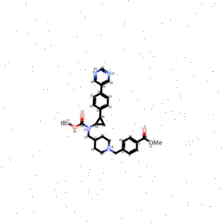 COC(=O)c1ccc(CN2CCC(CN(C(=O)OC(C)(C)C)C3CC3c3ccc(-c4cncnc4)cc3)CC2)cc1